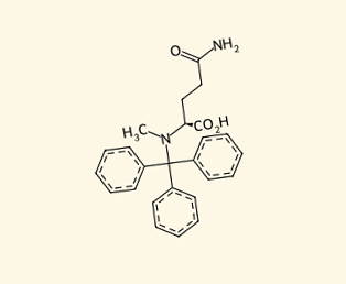 CN([C@@H](CCC(N)=O)C(=O)O)C(c1ccccc1)(c1ccccc1)c1ccccc1